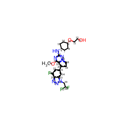 COc1nc(N[C@H]2CC[C@@H](OCCO)CC2)nn2ccc(-c3cc(F)c4nnn(CC(F)F)c4c3)c12